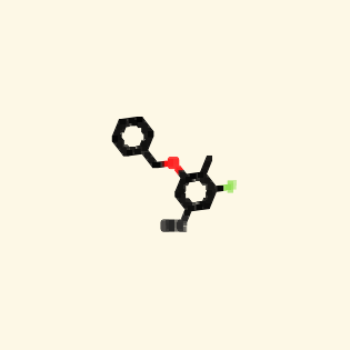 Cc1c(F)cc(C=O)cc1OCc1ccccc1